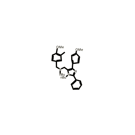 CCCCN(Cc1ccc(OC)c(C)c1)Cc1c(-c2ccc(OC)cc2)nc(-c2ccccc2)n1CCCC